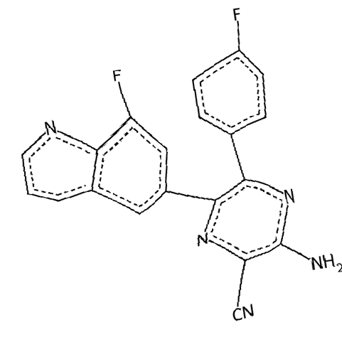 N#Cc1nc(-c2cc(F)c3ncccc3c2)c(-c2ccc(F)cc2)nc1N